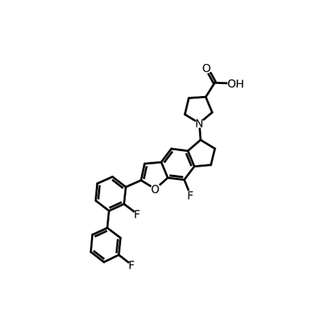 O=C(O)C1CCN(C2CCc3c2cc2cc(-c4cccc(-c5cccc(F)c5)c4F)oc2c3F)C1